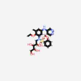 CCOc1c(C)cc(Nc2ccnnc2)cc1N(CC(O)C(O)C(O)CO)S(=O)(=O)c1ccccc1OC